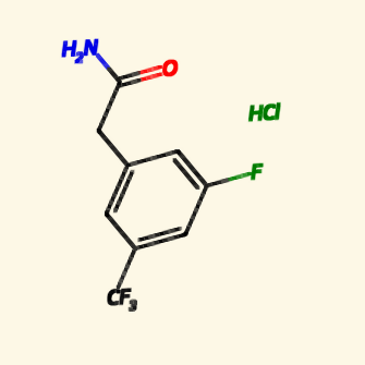 Cl.NC(=O)Cc1cc(F)cc(C(F)(F)F)c1